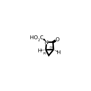 O=C(O)N1C(=O)[C@H]2C[C@H]21